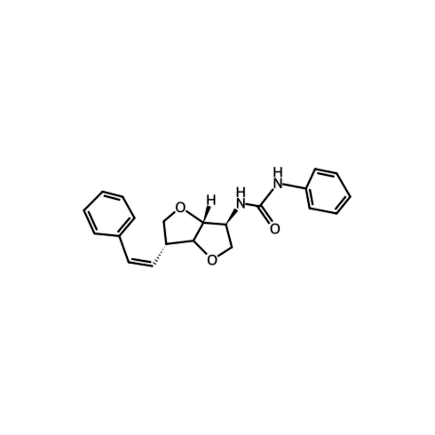 O=C(Nc1ccccc1)N[C@H]1COC2[C@H](/C=C\c3ccccc3)CO[C@@H]21